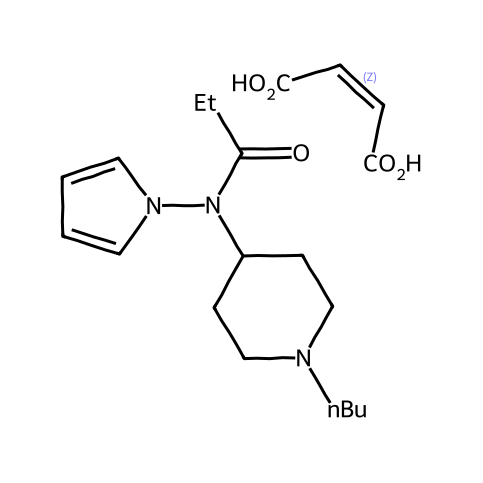 CCCCN1CCC(N(C(=O)CC)n2cccc2)CC1.O=C(O)/C=C\C(=O)O